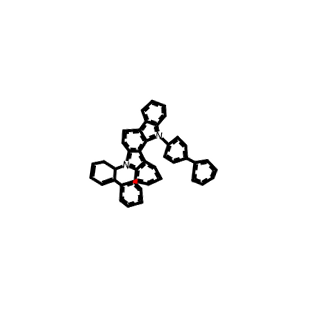 C1=CCC(n2c3ccccc3c3c4c(ccc32)c2ccccc2n4-c2ccc(-c3ccccc3)cc2)C(c2ccccc2)=C1